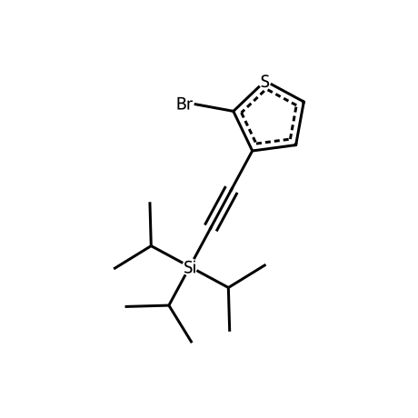 CC(C)[Si](C#Cc1ccsc1Br)(C(C)C)C(C)C